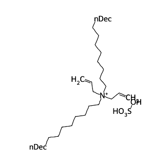 C=CC[N+](CC=C)(CCCCCCCCCCCCCCCCCC)CCCCCCCCCCCCCCCCCC.O=S(=O)(O)O